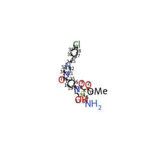 COC(=O)[C@H](SCCN)C(=O)N(CCO)c1ccc(C(=O)N2CCN(CCc3ccc(Cl)cc3)CC2)cc1